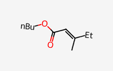 CCCCOC(=O)C=C(C)CC